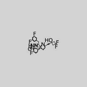 NC(=O)c1cc(-c2ccc(C#CC3(O)CC(F)(F)C3)nc2C(N)Cc2cc(F)cc(F)c2)ccc1F